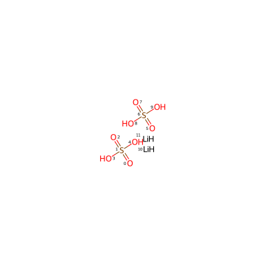 O=S(=O)(O)O.O=S(=O)(O)O.[LiH].[LiH]